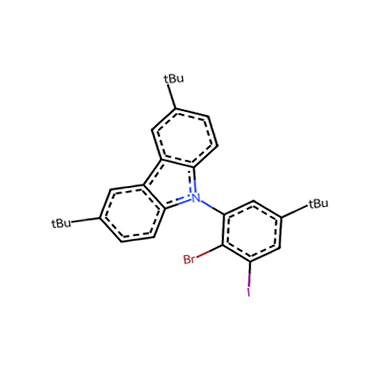 CC(C)(C)c1cc(I)c(Br)c(-n2c3ccc(C(C)(C)C)cc3c3cc(C(C)(C)C)ccc32)c1